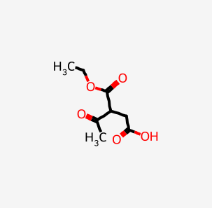 CCOC(=O)C(CC(=O)O)C(C)=O